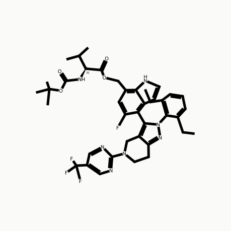 CCc1cccc(CC)c1-n1nc2c(c1-c1c(F)cc(COC(=O)[C@@H](NC(=O)OC(C)(C)C)C(C)C)c3[nH]ccc13)CN(c1ncc(C(F)(F)F)cn1)CC2